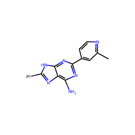 Cc1cc(-c2nc(N)c3nc(C(C)C)[nH]c3n2)ccn1